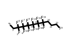 FC(F)(CI)C(F)(F)C(F)(F)C(F)(F)C(F)(F)C(F)(F)CCCI